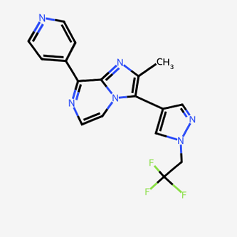 Cc1nc2c(-c3ccncc3)nccn2c1-c1cnn(CC(F)(F)F)c1